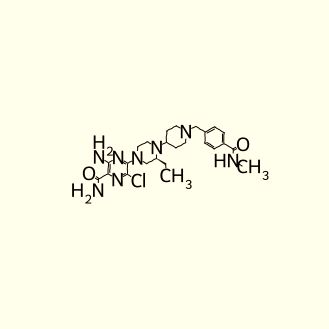 CC[C@H]1CN(c2nc(N)c(C(N)=O)nc2Cl)CCN1C1CCN(Cc2ccc(C(=O)NC)cc2)CC1